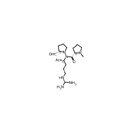 CC(=O)[C@H](CCCNC(N)N)N(C(=O)[C@@H]1CCCN1C)N1CCC[C@H]1C=O